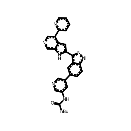 CCCCC(=O)Nc1cncc(-c2ccc3[nH]nc(-c4cc5c(-c6ccccn6)cncc5[nH]4)c3c2)c1